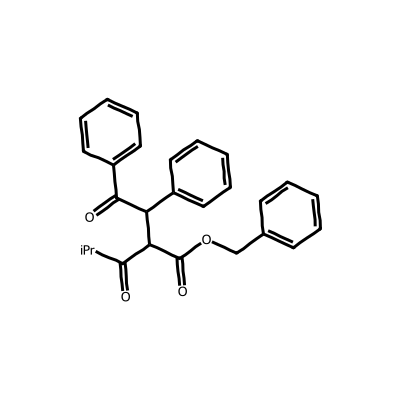 CC(C)C(=O)C(C(=O)OCc1ccccc1)C(C(=O)c1ccccc1)c1ccccc1